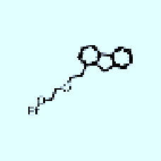 CCOCCOCCc1cccc2c1Cc1ccccc1-2